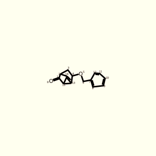 O=C1C2CC(OCc3ccccc3)C3=C2C13